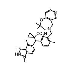 Cc1ccc(C(c2ccc3c(c2C)NNN3C)C2(C(=O)O)CC2)cc1CN1Cc2cnccc2OC(C)(C)C1